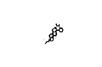 C[C@]12CC[C@H]3[C@@H](CCC4=C(c5ccccc5-c5ccoc5)C(=O)CC[C@@H]43)[C@@H]1CC[C@@]2(O)/C=C/CO